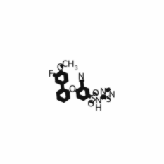 COc1ccc(-c2ccccc2Oc2ccc(S(=O)(=O)Nc3ncns3)cc2C#N)cc1F